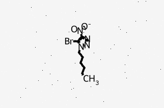 CCCCCCn1nnc([N+](=O)[O-])c1Br